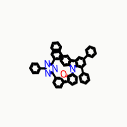 c1ccc(-c2ccc3c(c2)c2cc(-c4ccccc4)cc(-c4ccccc4)c2n3-c2cccc3c2oc2c(-c4nc(-c5ccccc5)nc(-c5ccccc5)n4)cccc23)cc1